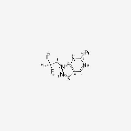 CC(C)c1ncc2cnn(CC(C)(F)F)c2n1